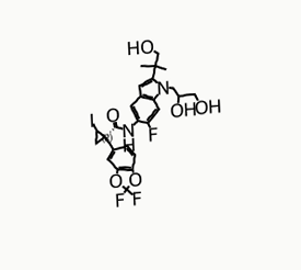 CC(C)(CO)c1cc2cc(NC(=O)[C@]3(c4ccc5c(c4)OC(F)(F)O5)CC3I)c(F)cc2n1CC(O)CO